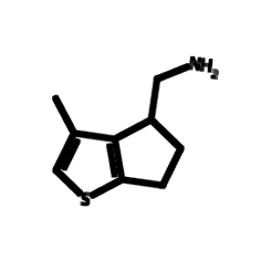 Cc1csc2c1C(CN)CC2